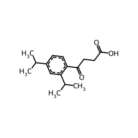 CC(C)c1ccc(C(=O)CCC(=O)O)c(C(C)C)c1